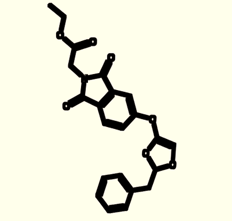 CCOC(=O)CN1C(=O)c2ccc(OC3=COC(Cc4ccccc4)O3)cc2C1=O